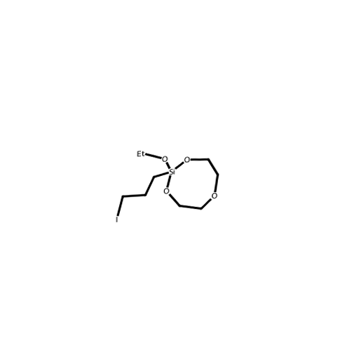 CCO[Si]1(CCCI)OCCOCCO1